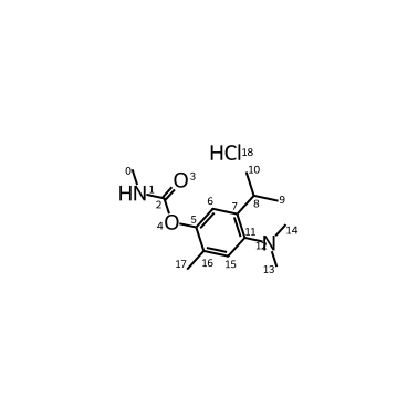 CNC(=O)Oc1cc(C(C)C)c(N(C)C)cc1C.Cl